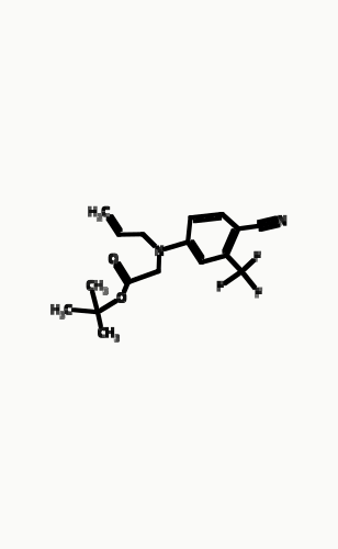 C=CCN(CC(=O)OC(C)(C)C)c1ccc(C#N)c(C(F)(F)F)c1